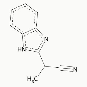 CC(C#N)c1nc2ccccc2[nH]1